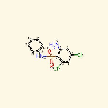 Nc1cc(Cl)cc(Cl)c1S(=O)(=O)Nc1ccccc1